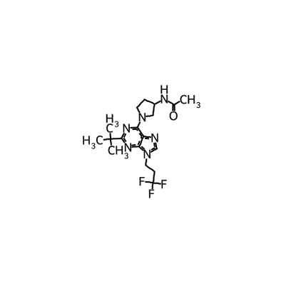 CC(=O)NC1CCN(c2nc(C(C)(C)C)nc3c2ncn3CCC(F)(F)F)C1